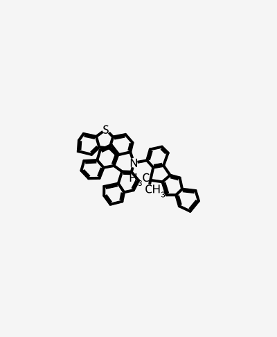 CC1(C)c2cc3ccccc3cc2-c2cccc(N(c3ccc4sc5ccccc5c4c3)c3ccc4ccccc4c3-c3cccc4ccccc34)c21